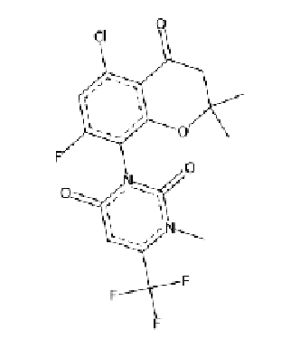 Cn1c(C(F)(F)F)cc(=O)n(-c2c(F)cc(Cl)c3c2OC(C)(C)CC3=O)c1=O